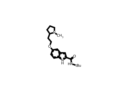 CN1CCCC1CCOc1ccc2[nH]c(C(=O)NC(C)(C)C)cc2c1